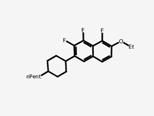 CCCCCC1CCC(c2cc3ccc(OCC)c(F)c3c(F)c2F)CC1